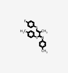 CC(=C\Sc1ccc(F)cc1)/C(=N/c1ccc(C)cc1)Sc1ccc(C)cc1